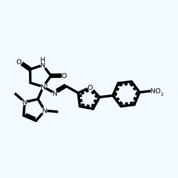 CN1C=CN(C)C1[N+]1(N=Cc2ccc(-c3ccc([N+](=O)[O-])cc3)o2)CC(=O)NC1=O